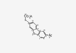 CC(=O)c1ccc2oc3cc(CC(=O)O)ccc3c2c1